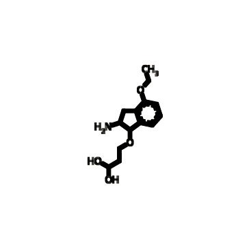 CCOc1cccc2c1CC(N)C2OCCC(O)O